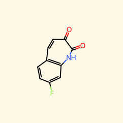 O=c1ccc2ccc(F)cc2[nH]c1=O